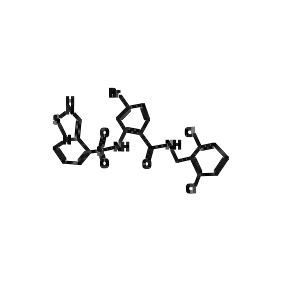 O=C(NCc1c(Cl)cccc1Cl)c1ccc(Br)cc1NS(=O)(=O)C1=CC=CN2SNC=C12